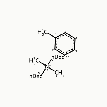 CCCCCCCCCC[N+](C)(C)CCCCCCCCCC.[CH2]c1ccccc1